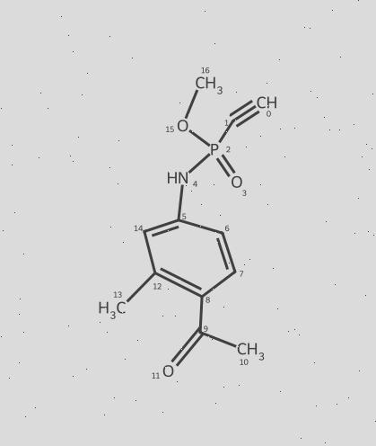 C#CP(=O)(Nc1ccc(C(C)=O)c(C)c1)OC